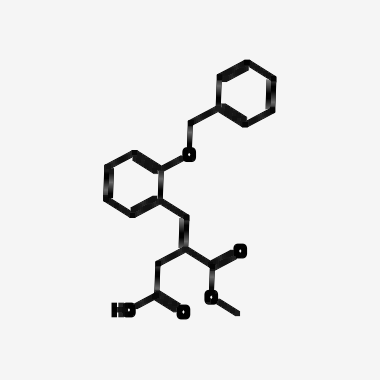 COC(=O)/C(=C/c1ccccc1OCc1ccccc1)CC(=O)O